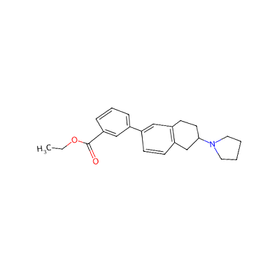 CCOC(=O)c1cccc(-c2ccc3c(c2)CCC(N2CCCC2)C3)c1